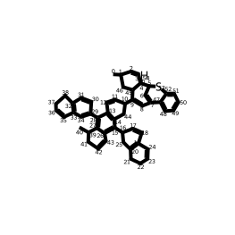 CC1C=C[C@H]2C3C=C(C=C(C4C=Cc5c(c(C6C=CC7=C(CCC=C7)C6)c6c(c5-c5ccc7c(c5)C=CCC7)C(C)CC=C6)C4)C2C1)c1ccccc1S3